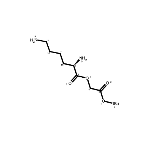 CC(C)(C)OC(=O)COC(=O)[C@H](N)CCCCN